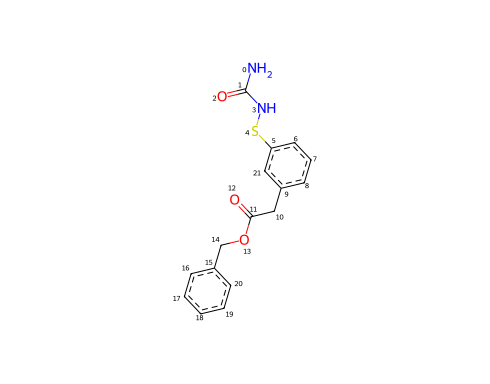 NC(=O)NSc1cccc(CC(=O)OCc2ccccc2)c1